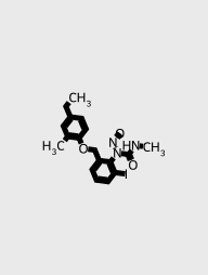 CCc1ccc(OCc2cccc(I)c2N(N=O)C(=O)NC)c(C)c1